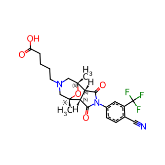 C[C@]12CN(CCCCC(=O)O)C[C@](C)(O1)[C@H]1C(=O)N(c3ccc(C#N)c(C(F)(F)F)c3)C(=O)[C@H]12